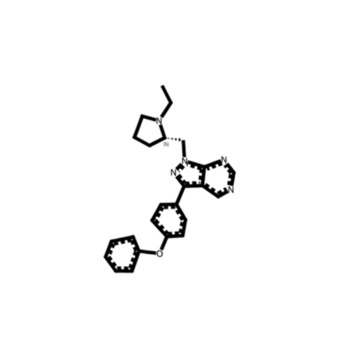 CCN1CCC[C@H]1Cn1nc(-c2ccc(Oc3ccccc3)cc2)c2cncnc21